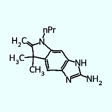 C=C1N(CCC)c2cc3[nH]c(N)nc3cc2C1(C)C